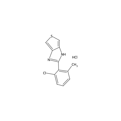 Cc1cccc(Cl)c1-c1nc2cscc2[nH]1.Cl